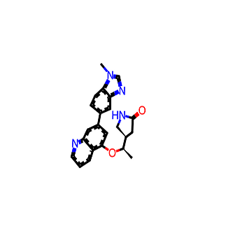 C[C@@H](Oc1cc(-c2ccc3c(c2)ncn3C)cc2ncccc12)[C@H]1CNC(=O)C1